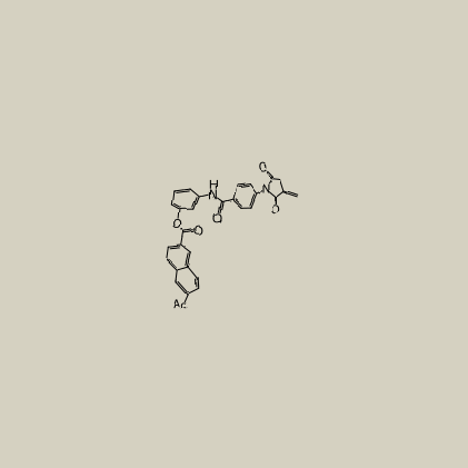 C=C1CC(=O)N(c2ccc(C(=O)Nc3cccc(OC(=O)c4ccc5cc(C(C)=O)ccc5c4)c3)cc2)C1=O